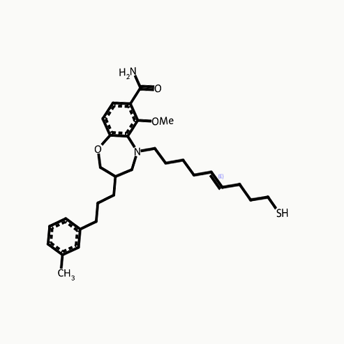 COc1c(C(N)=O)ccc2c1N(CCCC/C=C/CCCS)CC(CCCc1cccc(C)c1)CO2